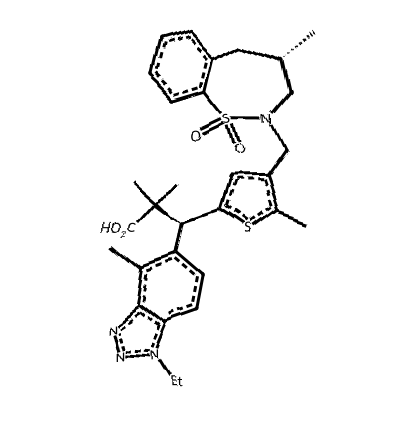 CCn1nnc2c(C)c([C@H](c3cc(CN4C[C@@H](C)Cc5ccccc5S4(=O)=O)c(C)s3)C(C)(C)C(=O)O)ccc21